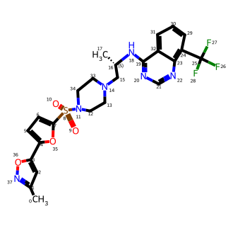 Cc1cc(-c2ccc(S(=O)(=O)N3CCN(C[C@H](C)Nc4ncnc5c(C(F)(F)F)cccc45)CC3)o2)on1